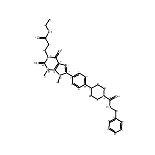 CCOC(=O)CCn1c(=O)c2nc(-c3ccc(C4CCN(C(=O)OCc5ccccc5)CC4)cc3)n(C)c2n(C)c1=O